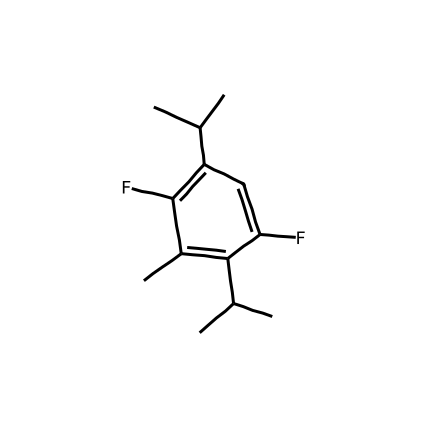 Cc1c(F)c(C(C)C)cc(F)c1C(C)C